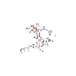 CO[C@]1(C)C[C@H](O[C@H]2[C@H](C)[C@@H](O[C@@H]3O[C@H](C)C[C@H](N(C)C)[C@H]3OCCCNC(=O)CN3CCCCC3)[C@](C)(O)C[C@@H](C)CN(C)C(=O)CCNC(=O)[C@@H]2C)O[C@@H](C)[C@@H]1O